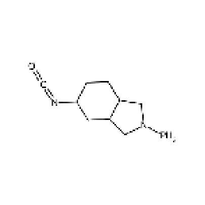 O=C=NC1CCC2CN(P)CC2C1